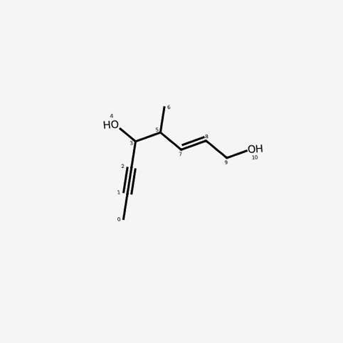 CC#CC(O)C(C)C=CCO